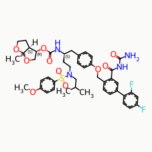 COc1ccc(S(=O)(=O)N(CC[C@H](Cc2ccc(OCc3ccc(-c4ccc(F)cc4F)cc3C(=O)NC(N)=O)cc2)NC(=O)O[C@H]2CO[C@@]3(C)OCC[C@@H]23)CC(C)C)cc1